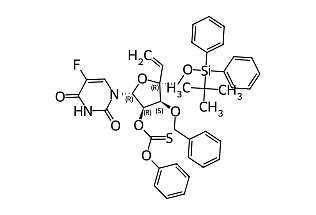 C=C[C@]1(CO[Si](c2ccccc2)(c2ccccc2)C(C)(C)C)O[C@@H](n2cc(F)c(=O)[nH]c2=O)[C@H](OC(=S)Oc2ccccc2)[C@@H]1OCc1ccccc1